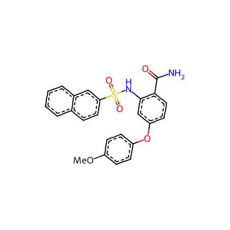 COc1ccc(Oc2ccc(C(N)=O)c(NS(=O)(=O)c3ccc4ccccc4c3)c2)cc1